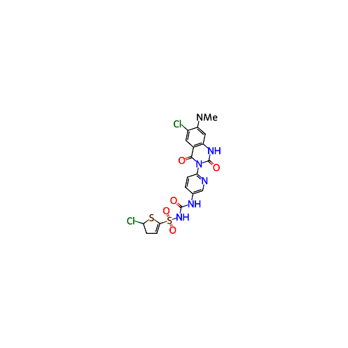 CNc1cc2[nH]c(=O)n(-c3ccc(NC(=O)NS(=O)(=O)C4=CCC(Cl)S4)cn3)c(=O)c2cc1Cl